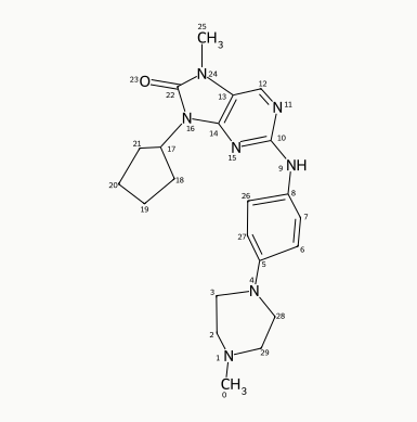 CN1CCN(c2ccc(Nc3ncc4c(n3)n(C3CCCC3)c(=O)n4C)cc2)CC1